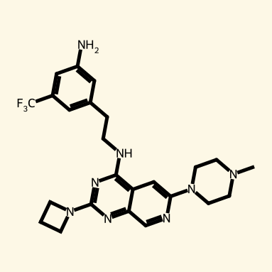 CN1CCN(c2cc3c(NCCc4cc(N)cc(C(F)(F)F)c4)nc(N4CCC4)nc3cn2)CC1